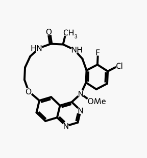 CON1C2=C(CNC(C)C(=O)NCCCOc3ccc4ncnc1c4c3)C(F)C(Cl)=CC2